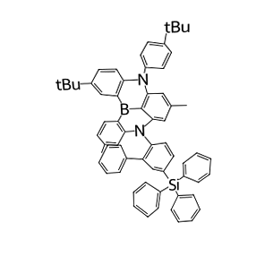 Cc1ccc2c(c1)N(c1ccc([Si](c3ccccc3)(c3ccccc3)c3ccccc3)cc1-c1ccccc1)c1cc(C)cc3c1B2c1cc(C(C)(C)C)ccc1N3c1ccc(C(C)(C)C)cc1